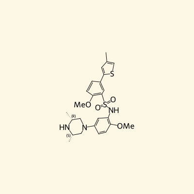 COc1ccc(N2C[C@@H](C)N[C@@H](C)C2)cc1NS(=O)(=O)c1cc(-c2cc(C)cs2)ccc1OC